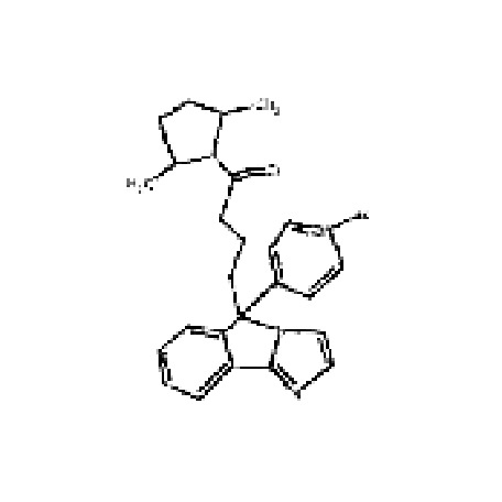 CC1CCC(C)N1C(=O)CCCC1(c2ccc(Br)cc2)c2ccccc2-c2nccn21